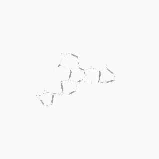 O=c1[nH]ccc2c(Nc3c(F)cc(F)cc3Cl)nc3ccc(-c4ccn[nH]4)cc3c12